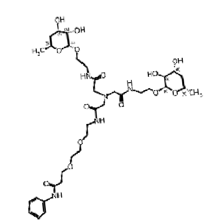 C[C@H]1C[C@@H](O)[C@H](O)[C@H](OCCNC(=O)CN(CC(=O)NCCOCCOCCC(=O)Nc2ccccc2)CC(=O)NCCO[C@@H]2O[C@@H](C)C[C@@H](O)[C@@H]2O)O1